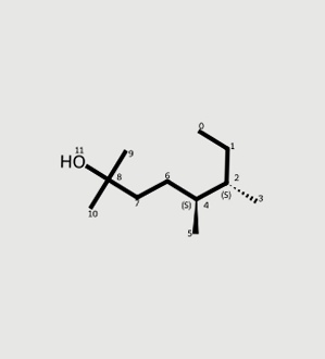 CC[C@H](C)[C@@H](C)CCC(C)(C)O